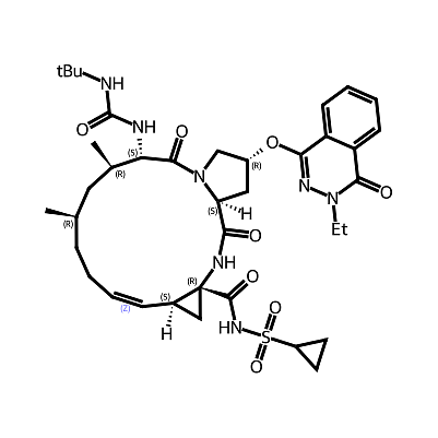 CCn1nc(O[C@@H]2C[C@H]3C(=O)N[C@]4(C(=O)NS(=O)(=O)C5CC5)C[C@H]4/C=C\CC[C@@H](C)C[C@@H](C)[C@H](NC(=O)NC(C)(C)C)C(=O)N3C2)c2ccccc2c1=O